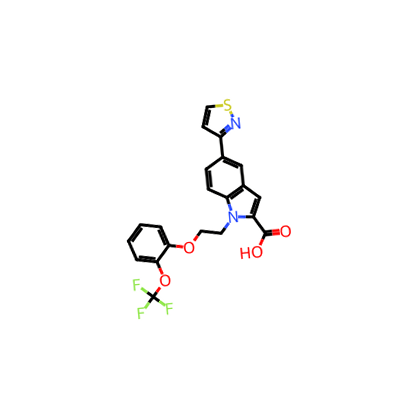 O=C(O)c1cc2cc(-c3ccsn3)ccc2n1CCOc1ccccc1OC(F)(F)F